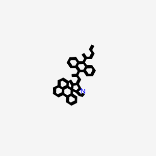 C=C/C=C\C(=C)c1c2ccccc2c(C(=C)/C=C2\C(=C)C3(c4ccccc4-c4cccc5cccc3c45)c3cccnc32)c2ccccc12